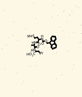 CSCCC(NC(=O)OCC1c2ccccc2-c2ccccc21)C(=O)NC(C)C(=O)NC(CC(C)C)C(=O)O